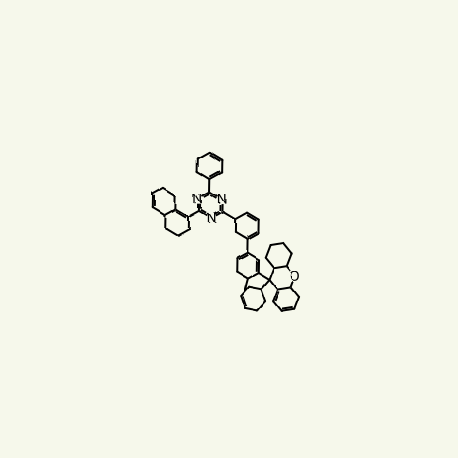 CC1CC=C(C2=CC=CC(c3nc(C4=CC=CCC4)nc(C4=C5CCC=CC5CCC4)n3)C2)C=C1C1(C2CC=CCC2)C2=CC=CCC2OC2CCCCC21